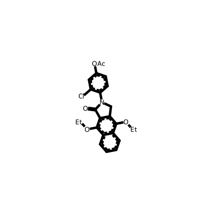 CCOc1c2c(c(OCC)c3ccccc13)C(=O)N(c1ccc(OC(C)=O)cc1Cl)C2